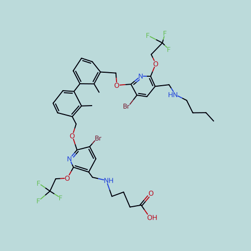 CCCCNCc1cc(Br)c(OCc2cccc(-c3cccc(COc4nc(OCC(F)(F)F)c(CNCCCC(=O)O)cc4Br)c3C)c2C)nc1OCC(F)(F)F